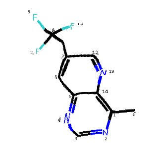 Cc1ncnc2cc(C(F)(F)F)cnc12